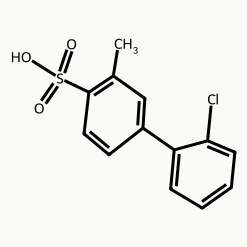 Cc1cc(-c2ccccc2Cl)ccc1S(=O)(=O)O